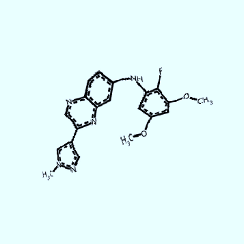 COc1cc(Nc2ccc3ncc(-c4cnn(C)c4)nc3c2)c(F)c(OC)c1